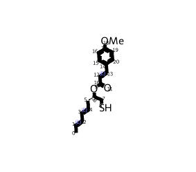 C/C=C/C=C/C[C@@H](CS)OC(=O)/C=C/c1ccc(OC)cc1